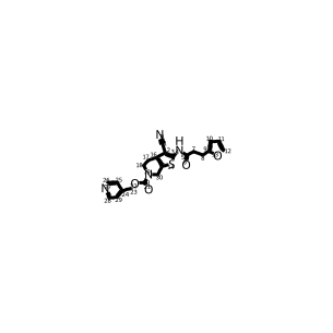 N#Cc1c(NC(=O)CCc2ccco2)sc2c1CCN(C(=O)OCc1ccncc1)C2